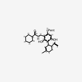 C=C(C)C1CCC(C)=CC1c1c(O)cc(CCCCC)c(CNC(=O)C2CCCCC2)c1O